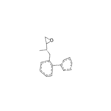 CC(Cc1ccccc1-c1ccccc1)C1CO1